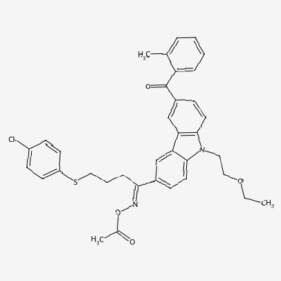 CCOCCn1c2ccc(C(=O)c3ccccc3C)cc2c2cc(/C(CCCSc3ccc(Cl)cc3)=N/OC(C)=O)ccc21